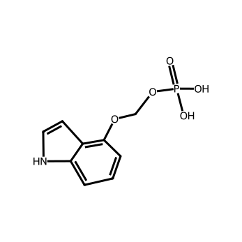 O=P(O)(O)OCOc1cccc2[nH]ccc12